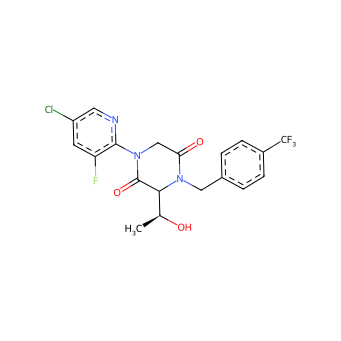 C[C@H](O)C1C(=O)N(c2ncc(Cl)cc2F)CC(=O)N1Cc1ccc(C(F)(F)F)cc1